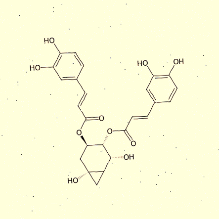 O=C(/C=C/c1ccc(O)c(O)c1)O[C@@H]1[C@H](O)C2C[C@@]2(O)C[C@H]1OC(=O)/C=C/c1ccc(O)c(O)c1